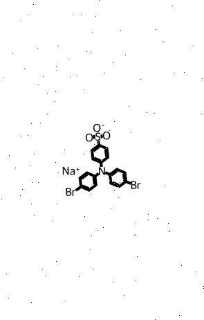 O=S(=O)([O-])c1ccc(N(c2ccc(Br)cc2)c2ccc(Br)cc2)cc1.[Na+]